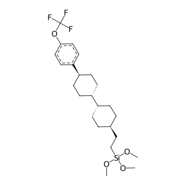 CO[Si](CC[C@H]1CC[C@H]([C@H]2CC[C@H](c3ccc(OC(F)(F)F)cc3)CC2)CC1)(OC)OC